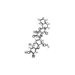 Cc1cc(-n2nc(C(=O)N3CCc4ccccc4C3)c(=O)[nH]c2=O)cc(C)c1Oc1ccc(O)c(Br)c1